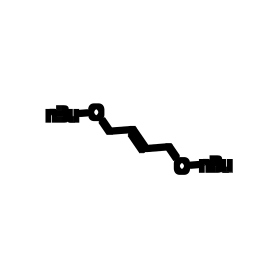 CCCCOC/C=C/COCCCC